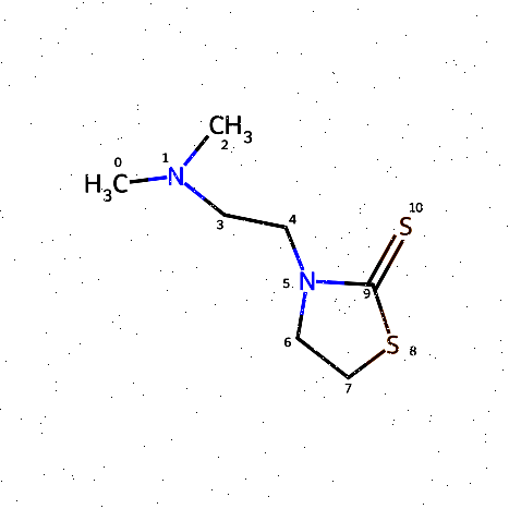 CN(C)CCN1CCSC1=S